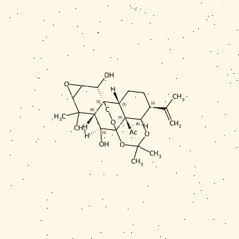 C=C(C)[C@@H]1CC[C@H]2[C@@]34COC5(OC(C)(C)O[C@H]1[C@@]25C(C)=O)[C@@H](O)[C@@H]3C(C)(C)C1OC1C4O